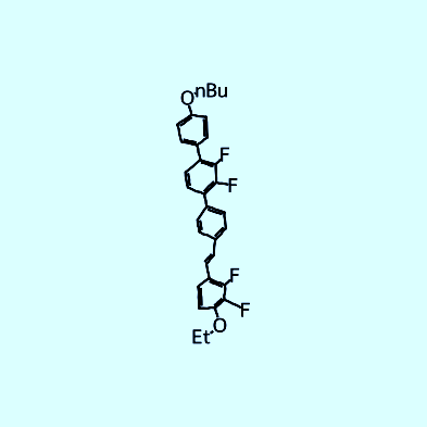 CCCCOc1ccc(-c2ccc(-c3ccc(/C=C/c4ccc(OCC)c(F)c4F)cc3)c(F)c2F)cc1